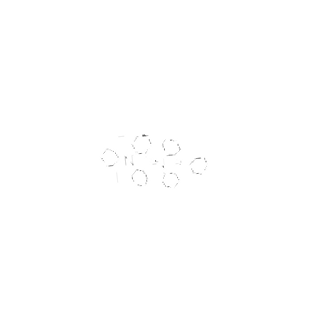 Cc1cc(C)c(B2c3cccc4c3N3B5c6c-4cccc6N(c4c(F)cccc4F)c4cccc(c45)-c4cccc2c43)c(C)c1